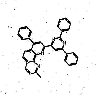 Cc1ccc2ccc3c(-c4ccccc4)cc(-c4cc(-c5ccccc5)nc(-c5ccccc5)n4)nc3c2n1